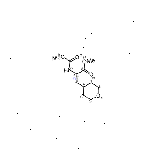 COC(=O)N/C(=C/C1CCOCC1)C(=O)OC